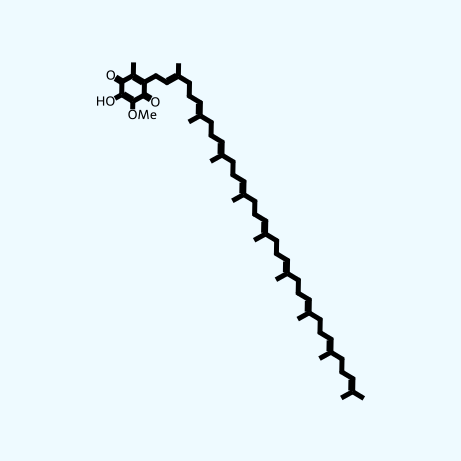 COC1=C(O)C(=O)C(C)=C(C/C=C(\C)CC/C=C(\C)CC/C=C(\C)CC/C=C(\C)CC/C=C(\C)CC/C=C(\C)CC/C=C(\C)CC/C=C(\C)CCC=C(C)C)C1=O